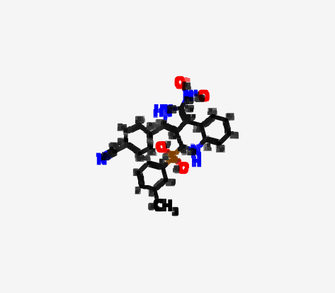 Cc1cccc(S(=O)(=O)C2Nc3ccccc3-c3c([N+](=O)[O-])[nH]c(-c4ccc(C#N)cc4)c32)c1